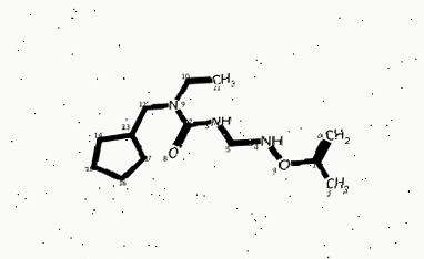 C=C(C)ONCNC(=O)N(CC)CC1CCCC1